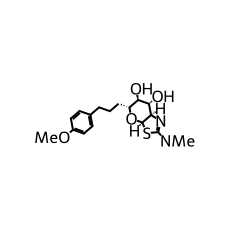 CNC1=N[C@@H]2[C@@H](O)[C@H](O)[C@@H](CCCc3ccc(OC)cc3)O[C@@H]2S1